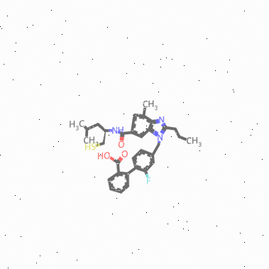 CCCc1nc2c(C)cc(C(=O)N[C@@H](CS)CC(C)C)cc2n1Cc1ccc(-c2ccccc2C(=O)O)c(F)c1